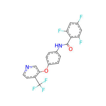 O=C(Nc1ccc(Oc2cnccc2C(F)(F)F)cc1)c1c(F)cc(F)cc1F